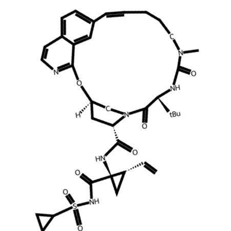 C=C[C@@H]1C[C@]1(NC(=O)[C@@H]1C[C@@H]2CN1C(=O)[C@H](C(C)(C)C)NC(=O)N(C)CCC/C=C/c1ccc3ccnc(c3c1)O2)C(=O)NS(=O)(=O)C1CC1